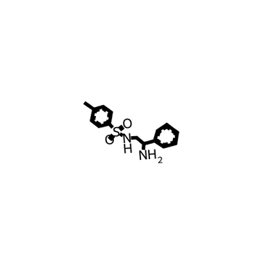 Cc1ccc(S(=O)(=O)NCC(N)c2ccccc2)cc1